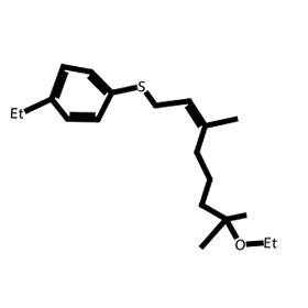 CCOC(C)(C)CCCC(C)=CCSc1ccc(CC)cc1